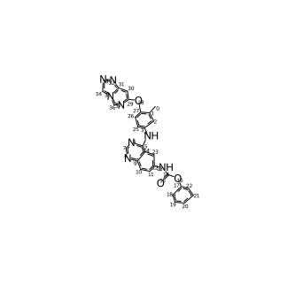 Cc1cc(Nc2ncnc3ccc(NC(=O)Oc4ccccc4)cc23)ccc1Oc1cc2nncn2cn1